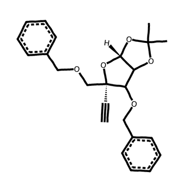 C#C[C@]1(COCc2ccccc2)O[C@@H]2OC(C)(C)OC2C1OCc1ccccc1